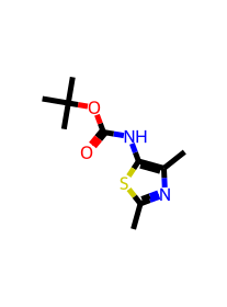 Cc1nc(C)c(NC(=O)OC(C)(C)C)s1